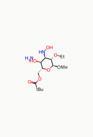 CCO[C@@H]1[C@@H](OC)O[C@H](COC(=O)C(C)(C)C)[C@@H](O)[C@H]1NO.N